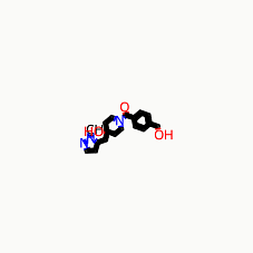 CN1N=CCC1CC1(O)CCN(C(=O)c2ccc(CO)cc2)CC1